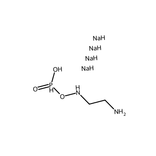 NCCNO[PH](=O)O.[NaH].[NaH].[NaH].[NaH]